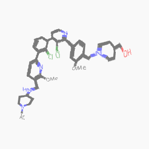 COc1cc(-c2nccc(-c3cccc(-c4ccc(CNC5CCN(C(C)=O)CC5)c(OC)n4)c3Cl)c2Cl)ccc1CN1CCC(CO)CC1